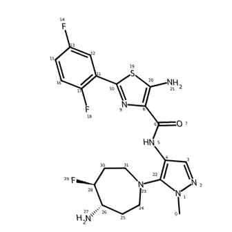 Cn1ncc(NC(=O)c2nc(-c3cc(F)ccc3F)sc2N)c1N1CC[C@H](N)[C@@H](F)CC1